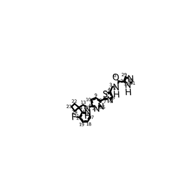 O=C(NCc1cnc(-c2ccc(NCC3(c4ncccc4F)CCC3)nn2)s1)c1cnc[nH]1